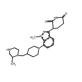 CC1CNCCN1CC1CCN(c2cccc3c(C4CCC(=O)NC4=O)nn(C)c23)CC1